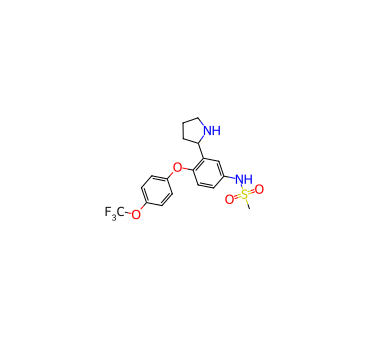 CS(=O)(=O)Nc1ccc(Oc2ccc(OC(F)(F)F)cc2)c(C2CCCN2)c1